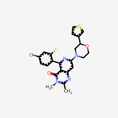 Cc1nc2cc(N3CCOC(c4ccsc4)C3)nc(-c3ccc(Cl)cc3F)c2c(=O)n1C